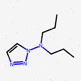 CCCN(CCC)n1ccnn1